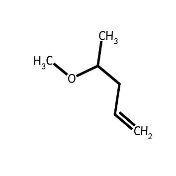 C=CCC(C)OC